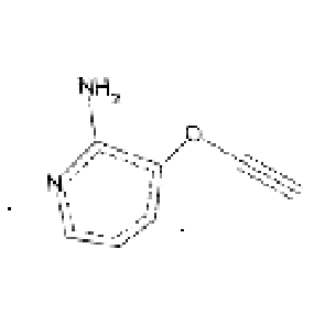 C#COc1cccnc1N